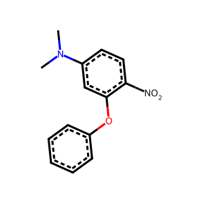 CN(C)c1ccc([N+](=O)[O-])c(Oc2ccccc2)c1